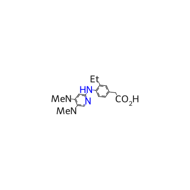 CCc1cc(CC(=O)O)ccc1Nc1cc(NC)c(NC)cn1